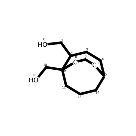 OCC1CCC2CCCC1(CO)CCC2